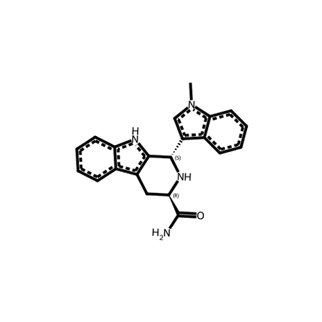 Cn1cc([C@@H]2N[C@@H](C(N)=O)Cc3c2[nH]c2ccccc32)c2ccccc21